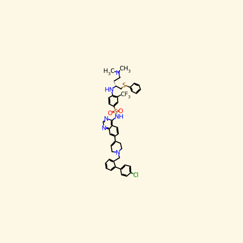 CN(C)CC[C@H](CSc1ccccc1)Nc1ccc(S(=O)(=O)Nc2ncnc3cc(C4=CCN(Cc5ccccc5-c5ccc(Cl)cc5)CC4)ccc23)cc1C(F)(F)F